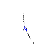 CCCCCCCCCCCCCN1C=CN(CCCCCCCCCCCCC)C1C(C)C